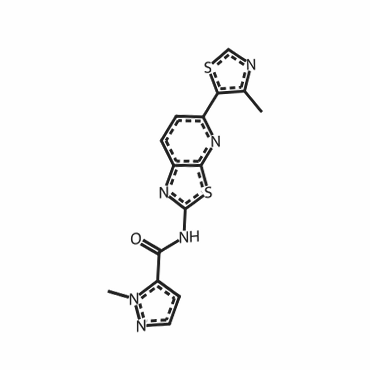 Cc1ncsc1-c1ccc2nc(NC(=O)c3ccnn3C)sc2n1